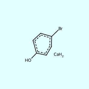 Oc1ccc(Br)cc1.[CaH2]